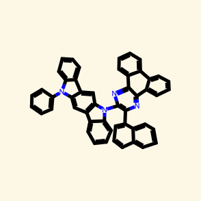 c1ccc(-n2c3ccccc3c3cc4c(cc32)c2ccccc2n4-c2nc3c4ccccc4c4ccccc4c3nc2-c2cccc3ccccc23)cc1